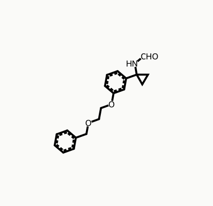 O=CNC1(c2cccc(OCCOCc3ccccc3)c2)CC1